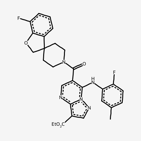 CCOC(=O)c1cnn2c(Nc3cc(C)ccc3F)c(C(=O)N3CCC4(CC3)COc3c(F)cccc34)cnc12